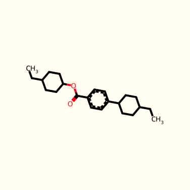 CCC1CCC(OC(=O)c2ccc(C3CCC(CC)CC3)cc2)CC1